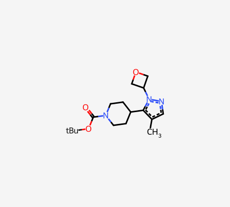 Cc1cnn(C2COC2)c1C1CCN(C(=O)OC(C)(C)C)CC1